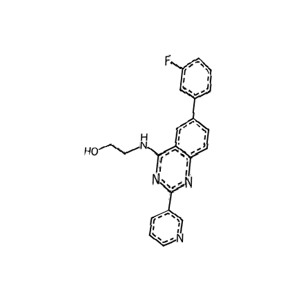 OCCNc1nc(-c2cccnc2)nc2ccc(-c3cccc(F)c3)cc12